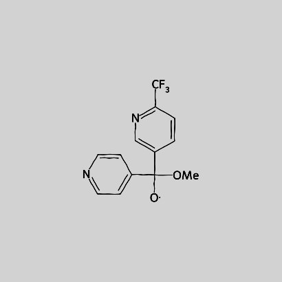 COC([O])(c1ccncc1)c1ccc(C(F)(F)F)nc1